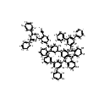 N#Cc1ccc(-n2c3ccccc3c3cc(-c4cc5c6c(c4)N(c4cc(-c7ccccc7)cc(-c7ccccc7)c4)c4ccccc4B6c4ccccc4N5c4cc(-c5ccccc5)cc(-c5ccccc5)c4)ccc32)cc1-c1nc(-c2ccccc2)nc(-c2ccccc2)n1